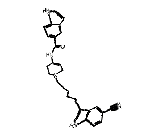 N#Cc1ccc2[nH]cc(CCCCN3CC=C(NC(=O)c4ccc5[nH]ccc5c4)CC3)c2c1